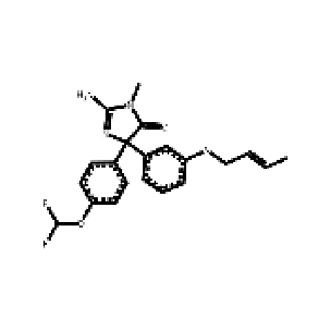 CC=CCNc1cccc(C2(c3ccc(OC(F)F)cc3)N=C(N)N(C)C2=O)c1